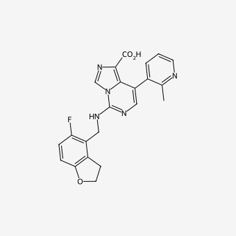 Cc1ncccc1-c1cnc(NCc2c(F)ccc3c2CCO3)n2cnc(C(=O)O)c12